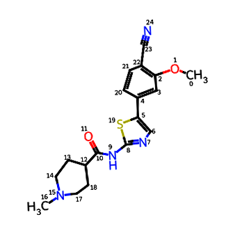 COc1cc(-c2cnc(NC(=O)C3CCN(C)CC3)s2)ccc1C#N